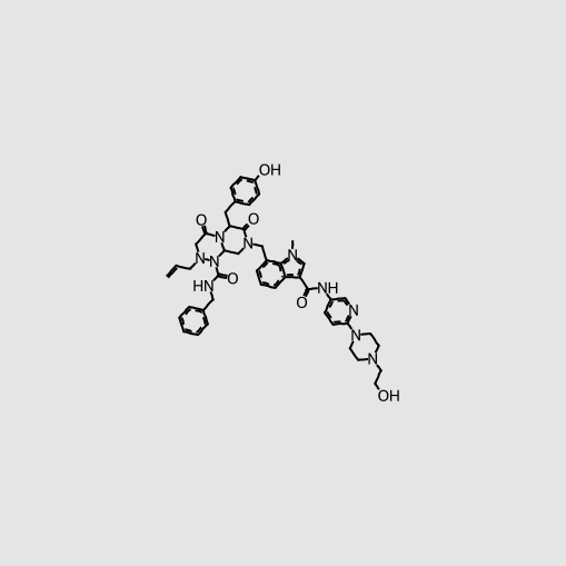 C=CCN1CC(=O)N2C(Cc3ccc(O)cc3)C(=O)N(Cc3cccc4c(C(=O)Nc5ccc(N6CCN(CCO)CC6)nc5)cn(C)c34)CC2N1C(=O)NCc1ccccc1